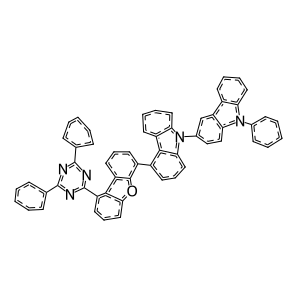 c1ccc(-c2nc(-c3ccccc3)nc(-c3cccc4oc5c(-c6cccc7c6c6ccccc6n7-c6ccc7c(c6)c6ccccc6n7-c6ccccc6)cccc5c34)n2)cc1